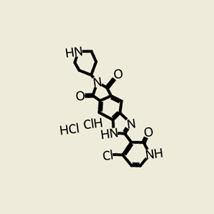 Cl.Cl.O=C1c2cc3nc(-c4c(Cl)cc[nH]c4=O)[nH]c3cc2C(=O)N1C1CCNCC1